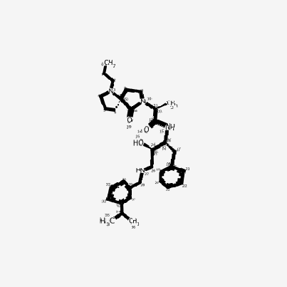 CCCN1CCC[C@@]12CCN([C@@H](C)C(=O)N[C@@H](Cc1ccccc1)[C@H](O)CNCc1cccc(C(C)C)c1)C2=O